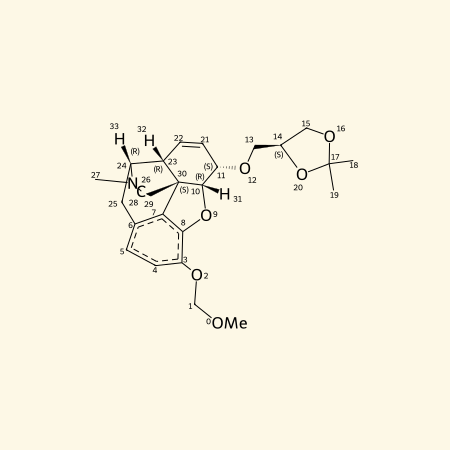 COCOc1ccc2c3c1O[C@H]1[C@@H](OC[C@H]4COC(C)(C)O4)C=C[C@H]4[C@@H](C2)N(C)CC[C@@]341